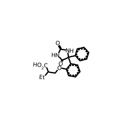 CCC(COc1ccccc1C1(c2ccccc2)NC(=O)NC1=O)C(=O)O